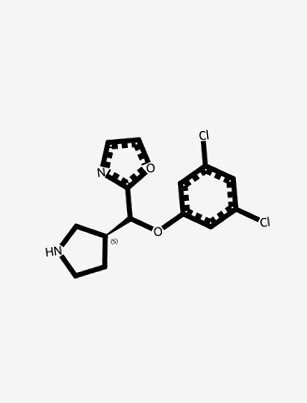 Clc1cc(Cl)cc(OC(c2ncco2)[C@H]2CCNC2)c1